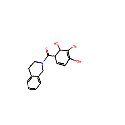 O=C([C]1C=CC(O)=C(O)C1O)N1CCc2ccccc2C1